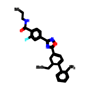 COCC1CC(c2nc(-c3ccc(C(=O)NCCC#N)c(F)c3)no2)=CC=C1c1ccccc1C